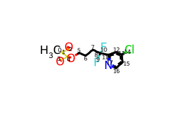 CS(=O)(=O)OCCCC(F)(F)c1cc(Cl)ccn1